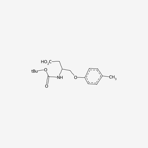 Cc1ccc(OCC(CC(=O)O)NC(=O)OC(C)(C)C)cc1